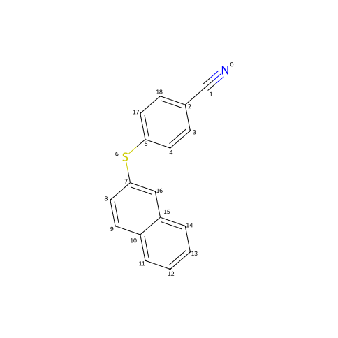 N#Cc1ccc(Sc2ccc3ccccc3c2)cc1